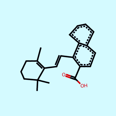 CC1=C(C=Cc2c(C(=O)O)ccc3ccccc23)C(C)(C)CCC1